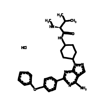 CN[C@@H](C(=O)NC1CCC(n2ncc3c(N)nc(-c4ccc(Oc5ccccc5)cc4)nc32)CC1)C(C)C.Cl